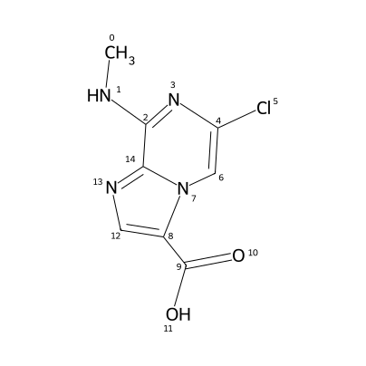 CNc1nc(Cl)cn2c(C(=O)O)cnc12